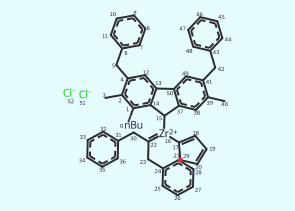 CCCCc1c(C)c(Cc2ccccc2)cc2c1[CH]([Zr+2]([C]1=CC=CC1)=[C](Cc1ccccc1)Cc1ccccc1)c1cc(C)c(Cc3ccccc3)cc1-2.[Cl-].[Cl-]